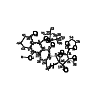 COc1c2c(c3c4c(c([C@@H]5O[C@@]6(C7OCCO7)O[C@@H]5C(=O)[C@@]65CO5)c(C)cc14)O[Si](C(C)(C)C)(C(C)(C)C)O3)C(=O)CCC2